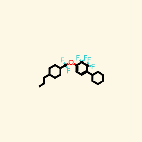 CCCC1CCC(C(F)(F)OC2=CC=C(C3CCCCC3)C(F)(F)C2(F)F)CC1